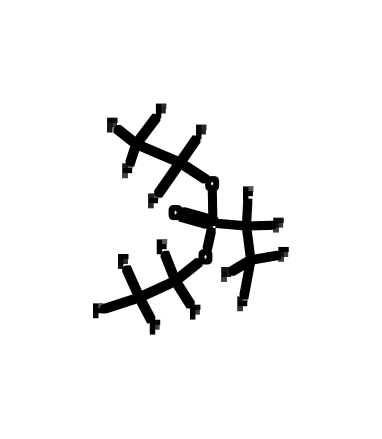 O=P(OC(F)(F)C(F)(F)F)(OC(F)(F)C(F)(F)F)C(F)(F)C(F)(F)F